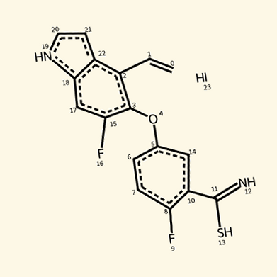 C=Cc1c(Oc2ccc(F)c(C(=N)S)c2)c(F)cc2[nH]ccc12.I